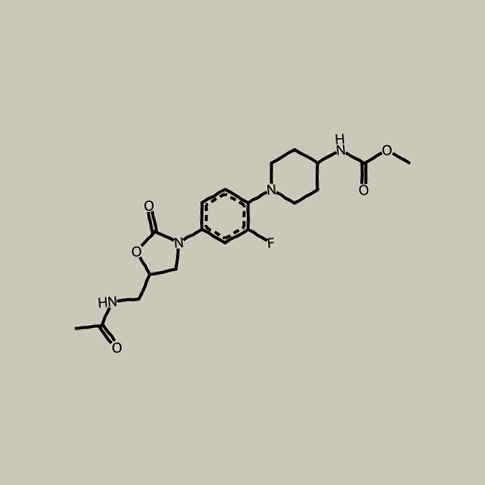 COC(=O)NC1CCN(c2ccc(N3CC(CNC(C)=O)OC3=O)cc2F)CC1